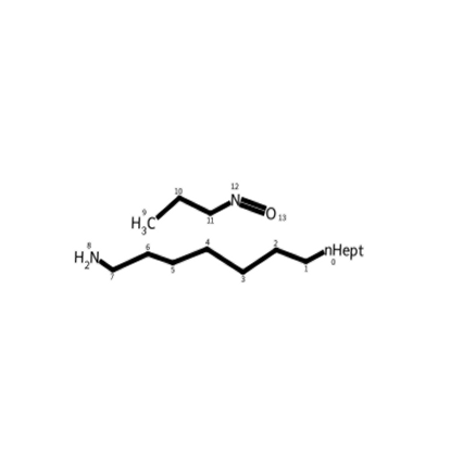 CCCCCCCCCCCCCCN.CCCN=O